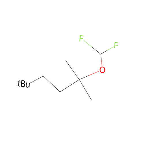 CC(C)(C)CCC(C)(C)OC(F)F